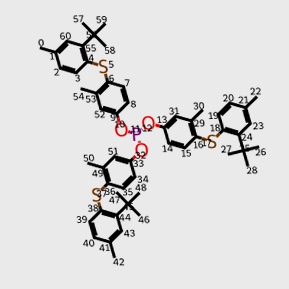 Cc1ccc(Sc2ccc(OP(Oc3ccc(Sc4ccc(C)cc4C(C)(C)C)c(C)c3)Oc3ccc(Sc4ccc(C)cc4C(C)(C)C)c(C)c3)cc2C)c(C(C)(C)C)c1